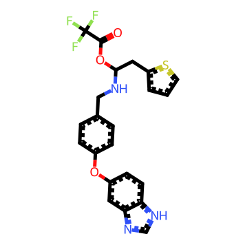 O=C(OC(Cc1cccs1)NCc1ccc(Oc2ccc3[nH]cnc3c2)cc1)C(F)(F)F